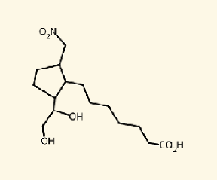 O=C(O)CCCCCCC1C(C[N+](=O)[O-])CCC1C(O)CO